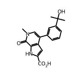 Cn1cc(-c2cccc(C(C)(C)O)c2)c2cc(C(=O)O)[nH]c2c1=O